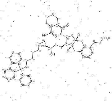 CCCCC[C@H](O)CC[C@@H]1[C@H]2Cc3cccc(OCC(=O)O)c3C[C@H]2C[C@H]1OC(=O)[C@@H]1CCCC[C@@H]1C(=O)NCCCCCCSC(c1ccccc1)(c1ccccc1)c1ccccc1